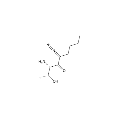 CCCCC(=[N+]=[N-])C(=O)[C@@H](N)[C@@H](C)O